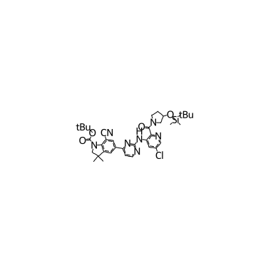 CC(C)(C)OC(=O)N1CC(C)(C)c2cc(-c3ccnc(Nc4cc(Cl)cnc4C(=O)N4CCC(O[Si](C)(C)C(C)(C)C)C4)n3)cc(C#N)c21